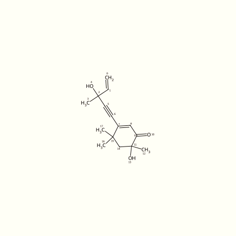 C=CC(C)(O)C#CC1=CC(=O)C(C)(O)CC1(C)C